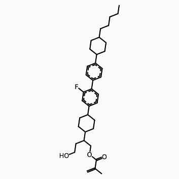 C=C(C)C(=O)OCC(CCO)C1CCC(c2ccc(-c3ccc(C4CCC(CCCCC)CC4)cc3)c(F)c2)CC1